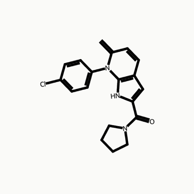 C=C1C=Cc2cc(C(=O)N3CCCC3)[nH]c2N1c1ccc(Cl)cc1